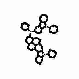 c1ccc(N(c2ccc3c(c2)c2ccccc2n3-c2ccccc2)c2ccc3ccc4c5c(ccc2c35)cc2c4c3cnccc3n2-c2ccccc2)cc1